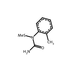 CSN(C(N)=O)c1ccccc1C